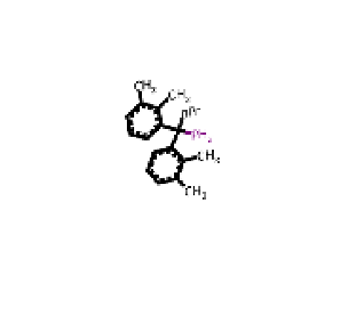 CCCC(P)(c1cccc(C)c1C)c1cccc(C)c1C